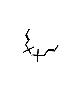 CC=CCC(C)(C)OC(C)(C)CC=CC